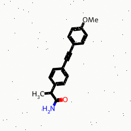 COc1ccc(C#Cc2ccc(C(C)C(N)=O)cc2)cc1